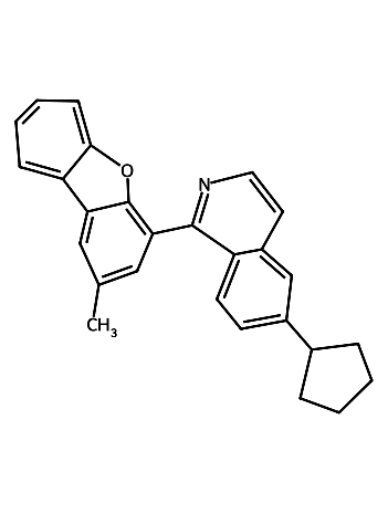 Cc1cc(-c2nccc3cc(C4CCCC4)ccc23)c2oc3ccccc3c2c1